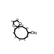 OC1CCCCCCC2(CC1)OCCO2